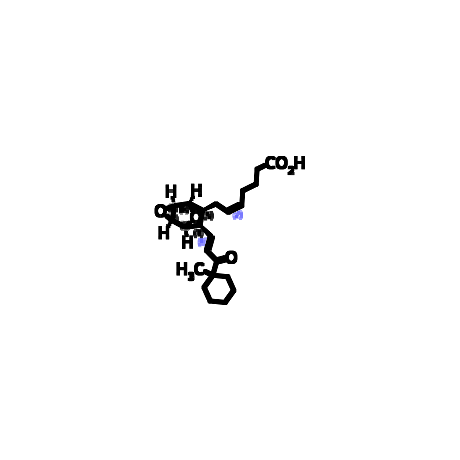 CC1(C(=O)/C=C/[C@@H]2[C@H](C/C=C\CCCC(=O)O)[C@H]3O[C@@H]2[C@H]2O[C@H]23)CCCCC1